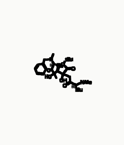 CCC(C)[C@H](NC)C(=O)CC(O)(C(=O)OC(C)(C)C)C(=O)C(C)(O)C(=O)[C@H](C(C)CC)N(C)Cc1ccccc1